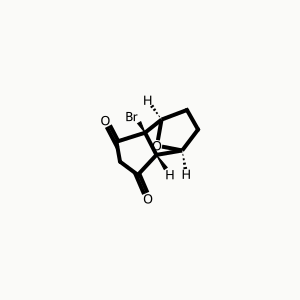 O=C1CC(=O)[C@]2(Br)[C@H]3CC[C@H](O3)[C@H]12